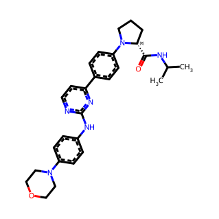 CC(C)NC(=O)[C@H]1CCCN1c1ccc(-c2ccnc(Nc3ccc(N4CCOCC4)cc3)n2)cc1